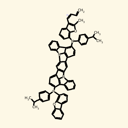 C=C/C=C\c1c(C)oc2c(N(c3ccc(C(C)C)cc3)c3ccc4c5cc6c(cc5n5c7ccccc7c3c45)c3ccc(N(c4ccc(C(C)C)cc4)c4cccc5c4oc4ccccc45)c4c5ccccc5n6c34)cccc12